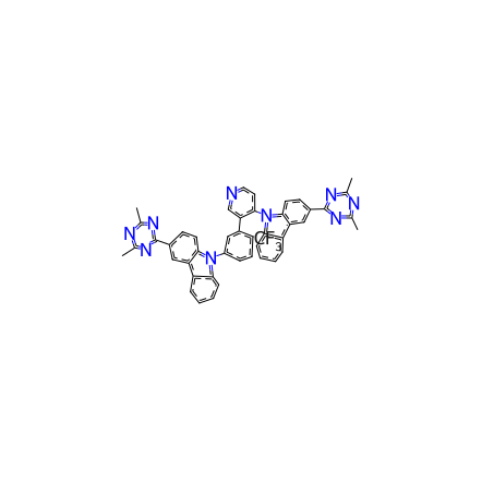 Cc1nc(C)nc(-c2ccc3c(c2)c2ccccc2n3-c2ccc(C(F)(F)F)c(-c3cnccc3-n3c4ccccc4c4cc(-c5nc(C)nc(C)n5)ccc43)c2)n1